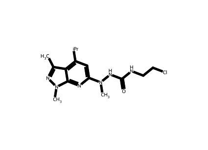 Cc1nn(C)c2nc(N(C)NC(=O)NCCCl)cc(C(C)C)c12